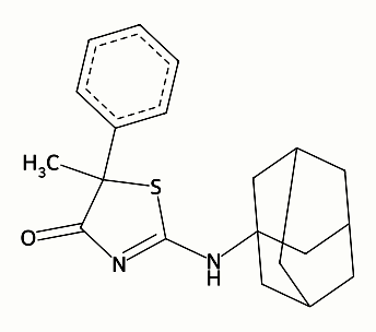 CC1(c2ccccc2)SC(NC23CC4CC(CC(C4)C2)C3)=NC1=O